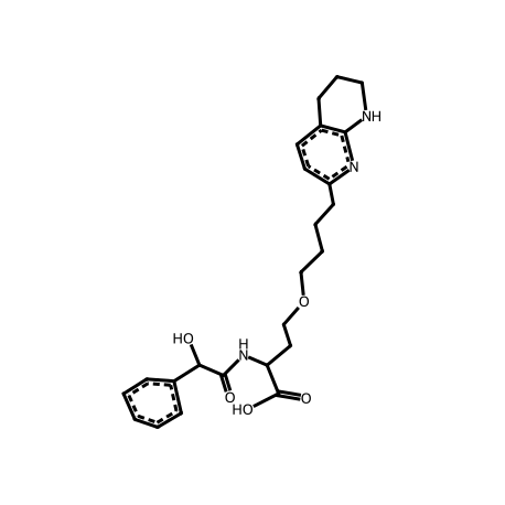 O=C(O)C(CCOCCCCc1ccc2c(n1)NCCC2)NC(=O)C(O)c1ccccc1